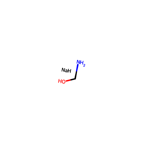 NCO.[NaH]